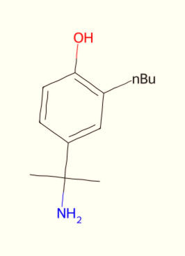 CCCCc1cc(C(C)(C)N)ccc1O